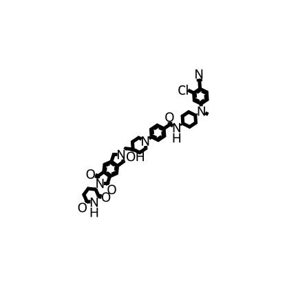 CN(c1ccc(C#N)c(Cl)c1)[C@H]1CC[C@H](NC(=O)c2ccc(N3CCC(O)(CN4Cc5cc6c(cc5C4)C(=O)N(C4CCC(=O)NC4=O)C6=O)CC3)cc2)CC1